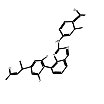 CC/C(C)=C\C(C)c1cc(F)c(-c2cccc3cnc(NC4=CC(C)/C(=C(\C)CC)C=C4)nc23)c(F)c1